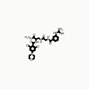 COC(=O)C(CNC(=O)CNC(=O)c1cccc(NC(=N)N)c1)NC(=O)c1c(Cl)cc(N2CCOCC2)cc1Cl